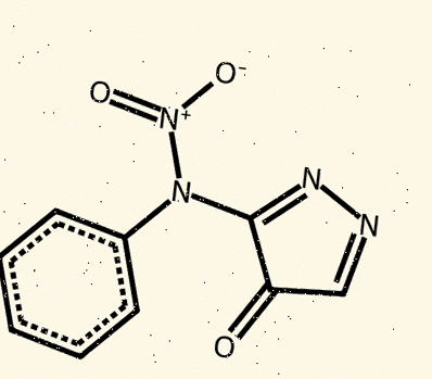 O=C1C=NN=C1N(c1ccccc1)[N+](=O)[O-]